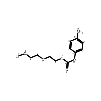 CCOCCOCCOC(=O)Oc1ccc(C)cc1